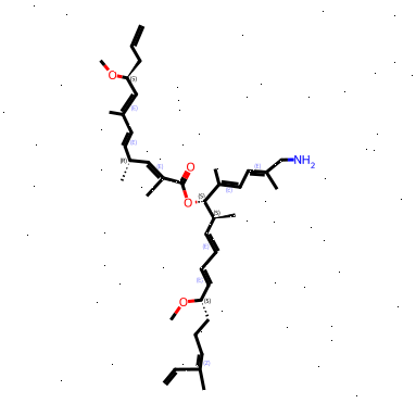 C=CC[C@@H](/C=C(C)/C=C/[C@@H](C)/C=C(\C)C(=O)O[C@H](/C(C)=C/C=C(\C)CN)[C@@H](C)/C=C/C=C/[C@H](CC/C=C(/C)C=C)OC)OC